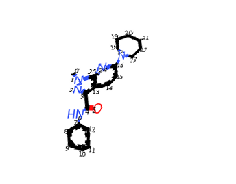 Cn1nc(C(=O)Nc2ccccc2)c2ccc(N3CCCCCC3)nc21